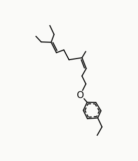 CCC(=CCCC(C)=CCCOc1ccc(CC)cc1)CC